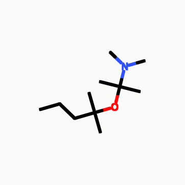 CCCC(C)(C)OC(C)(C)N(C)C